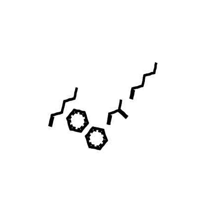 C=CC(=C)C.C=CCCCC.C=CCCCC.c1ccccc1.c1ccccc1